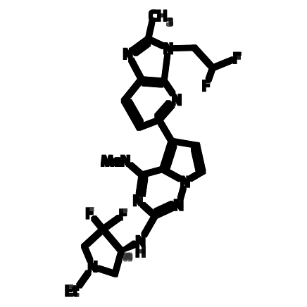 CCN1C[C@H](Nc2nc(NC)c3c(-c4ccc5nc(C)n(CC(F)F)c5n4)ccn3n2)C(F)(F)C1